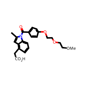 COCCOCCOc1ccc(C(=O)n2c(C)cc3c(CC(=O)O)cccc32)cc1